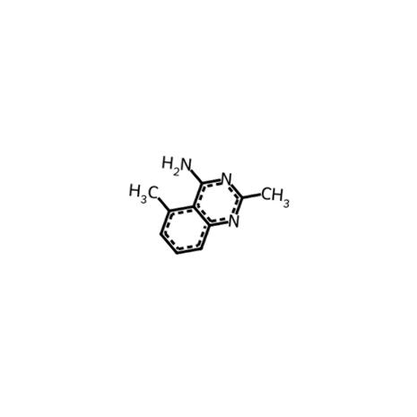 Cc1nc(N)c2c(C)cccc2n1